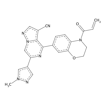 C=CC(=O)N1CCOc2cc(-c3nc(-c4cnn(C)c4)cn4ncc(C#N)c34)ccc21